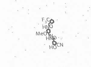 COc1cc(NC(=O)Cc2ccccc2C(F)(F)F)ccc1C=NNC(=O)c1ccc(O)c(C#N)c1